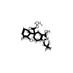 COC(=O)C1(c2cccc(F)c2C)CCc2c(c(O)nn2CC(F)(F)F)C1